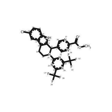 COC(=O)c1ncc(C2c3[nH]c4ccc(Cl)cc4c3CCN2c2nc(C(F)(F)F)nc(C(F)(F)F)n2)cn1